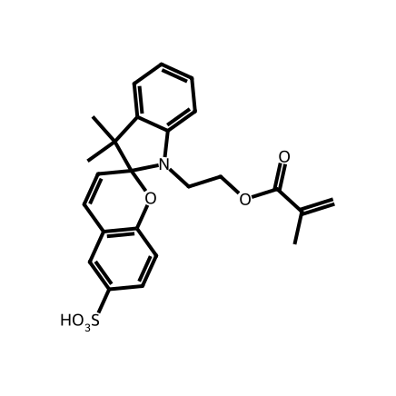 C=C(C)C(=O)OCCN1c2ccccc2C(C)(C)C12C=Cc1cc(S(=O)(=O)O)ccc1O2